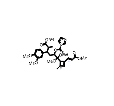 COC(=O)/C=C/C1=C[C@@H](C)C1C(OC)(OC)C(CC(c1ccc(OC)c(OC)c1)C(C)C(=O)OC)OC(=S)n1ccnc1